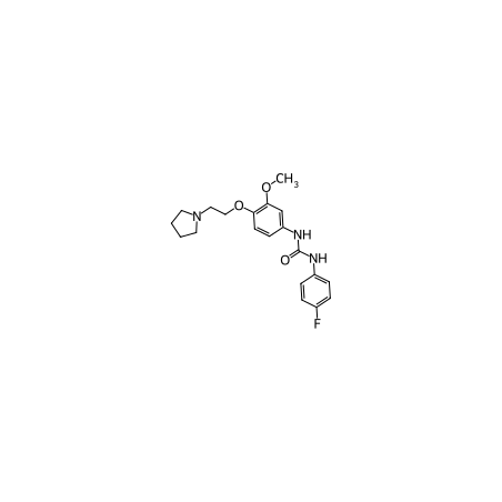 COc1cc(NC(=O)Nc2ccc(F)cc2)ccc1OCCN1CCCC1